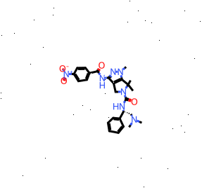 CN(C)C[C@@H](NC(=O)N1Cc2c(NC(=O)c3ccc([N+](=O)[O-])cc3)nn(C)c2C1(C)C)c1ccccc1